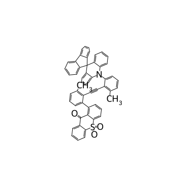 Cc1cccc(-c2cccc3c2C(=O)c2ccccc2S3(=O)=O)c1C#Cc1c(C)cccc1N1c2ccccc2C2(c3ccccc3-c3ccccc32)c2ccccc21